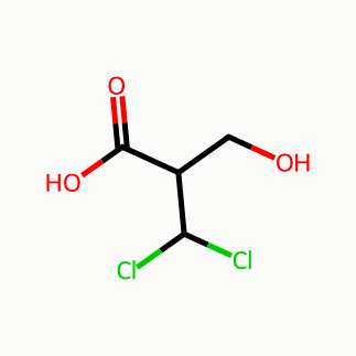 O=C(O)C(CO)C(Cl)Cl